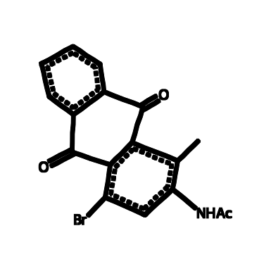 CC(=O)Nc1cc(Br)c2c(c1C)C(=O)c1ccccc1C2=O